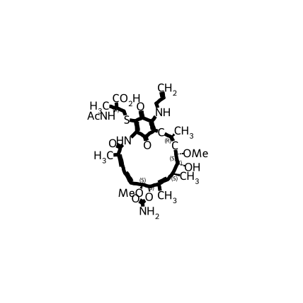 C=CCNC1=C2C[C@@H](C)C[C@H](OC)[C@H](O)[C@@H](C)C=C(C)[C@H](OC(N)=O)[C@@H](OC)C=CC=C(C)C(=O)NC(=C(SC[C@](C)(NC(C)=O)C(=O)O)C1=O)C2=O